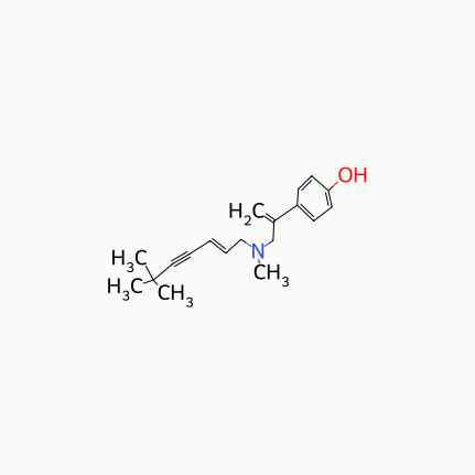 C=C(CN(C)C/C=C/C#CC(C)(C)C)c1ccc(O)cc1